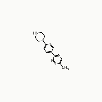 Cc1cnc(-c2ccc(N3CCNCC3)cc2)nc1